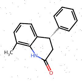 Cc1cccc2c1NC(=O)C[C@H]2c1ccccc1